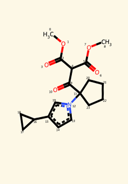 COC(=O)C(C(=O)OC)C(=O)C1(n2ccc(C3CC3)c2)CCCC1